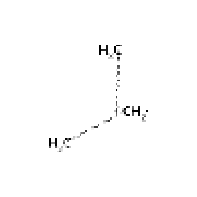 [CH2]c1cc(CCCCCCCCCCCCCCCCC)cc(CCCCCCCCCCCCCCCCC)c1